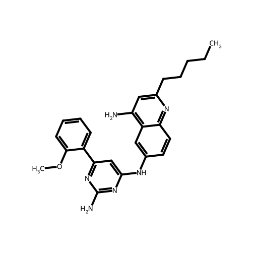 CCCCCc1cc(N)c2cc(Nc3cc(-c4ccccc4OC)nc(N)n3)ccc2n1